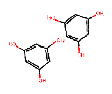 Oc1cc(O)cc(O)c1.Oc1cc(O)cc(O)c1